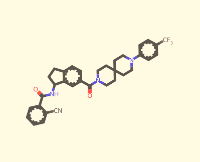 N#Cc1ccccc1C(=O)NC1CCc2ccc(C(=O)N3CCC4(CC3)CCN(c3ccc(C(F)(F)F)cc3)CC4)cc21